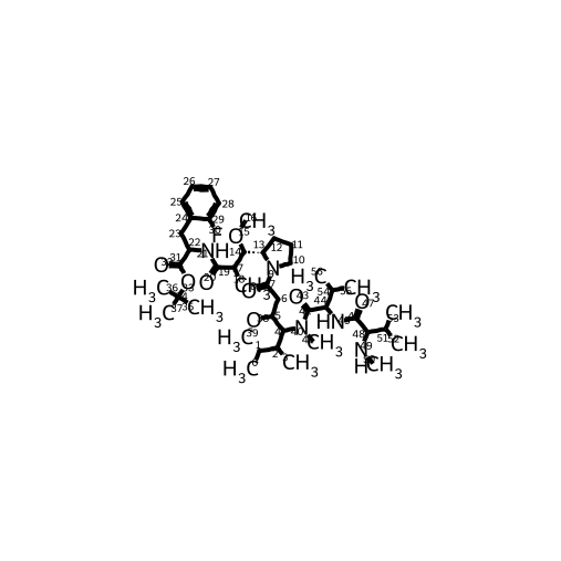 CCC(C)C(C(CC(=O)N1CCC[C@H]1C(OC)C(C)C(=O)NC(Cc1ccccc1F)C(=O)OC(C)(C)C)OC)N(C)C(=O)C(NC(=O)C(NC)C(C)C)C(C)C